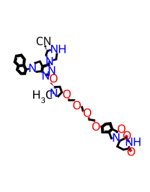 CN1C[C@H](OCCOCCOCCOc2ccc3c(c2)CN(C2CCC(=O)NC2=O)C3=O)C[C@H]1COc1nc2c(c(N3CCN[C@@H](CC#N)C3)n1)CCN(c1cccc3ccccc13)C2